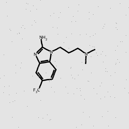 CN(C)CCCn1c(N)nc2cc(C(F)(F)F)ccc21